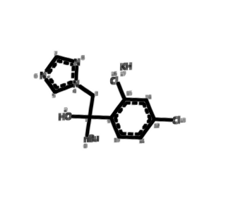 CCCCC(O)(Cn1cncn1)c1ccc(Cl)cc1Cl.[KH]